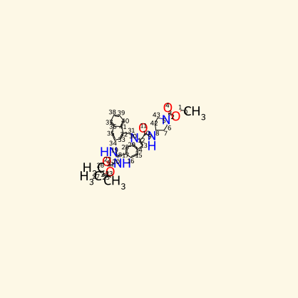 CCOC(=O)N1CCC(NC(=O)c2cc3ccc(C(=N)NC(=O)OC(C)(C)C)cc3n2Cc2cccc3ccccc23)CC1